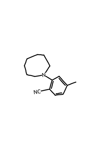 Cc1ccc(C#N)c(N2CCCCCCC2)c1